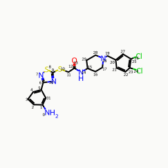 Nc1cccc(-c2nsc(SCC(=O)NC3CCN(Cc4ccc(Cl)c(Cl)c4)CC3)n2)c1